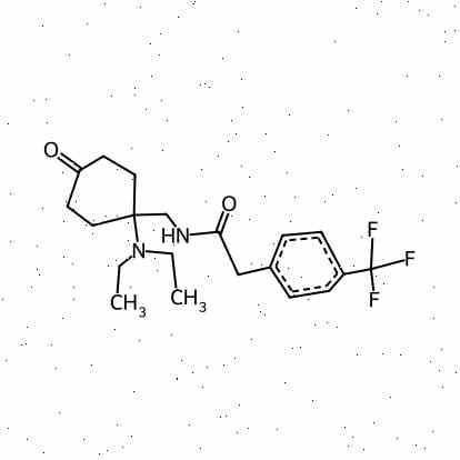 CCN(CC)C1(CNC(=O)Cc2ccc(C(F)(F)F)cc2)CCC(=O)CC1